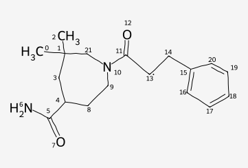 CC1(C)CC(C(N)=O)CCN(C(=O)[CH]Cc2ccccc2)C1